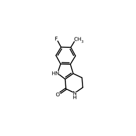 Cc1cc2c3c([nH]c2cc1F)C(=O)NCC3